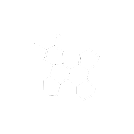 N#Cc1nc2c3cccnc3c3c4ccccc4c4ccccc4c3c2nc1C#N